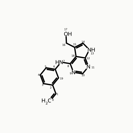 C=Cc1cccc(Nc2ncnc3[nH]cc(CO)c23)c1